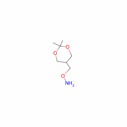 CC1(C)OCC(CON)CO1